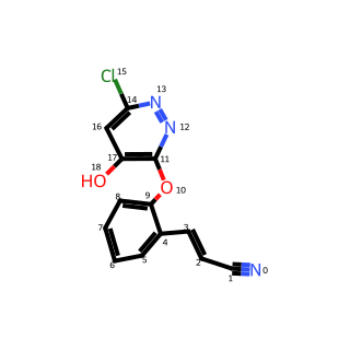 N#C/C=C/c1ccccc1Oc1nnc(Cl)cc1O